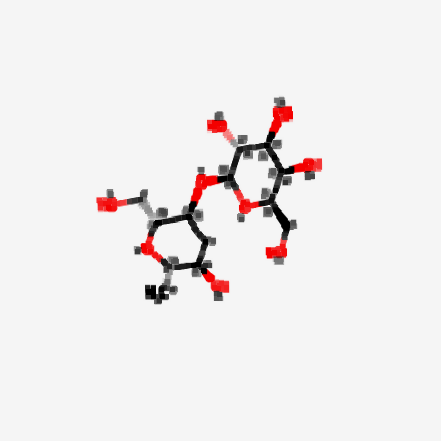 C[C@@H]1O[C@H](CO)[C@@H](O[C@@H]2O[C@H](CO)[C@H](O)[C@H](O)[C@H]2O)C[C@H]1O